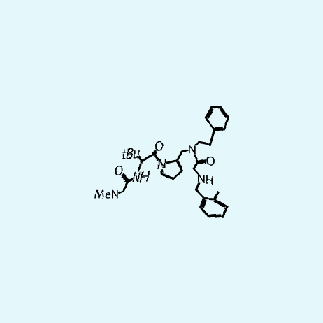 CNCC(=O)NC(C(=O)N1CCCC1CN(CCc1ccccc1)C(=O)CNCc1ccccc1C)C(C)(C)C